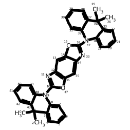 CC1(C)c2ccccc2N(c2nc3cc4oc(N5c6ccccc6C(C)(C)c6ccccc65)nc4cc3o2)c2ccccc21